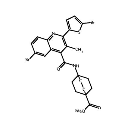 COC(=O)C12CCC(NC(=O)c3c(C)c(-c4ccc(Br)s4)nc4ccc(Br)cc34)(CC1)CC2